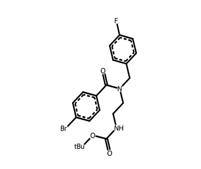 CC(C)(C)OC(=O)NCCN(Cc1ccc(F)cc1)C(=O)c1ccc(Br)cc1